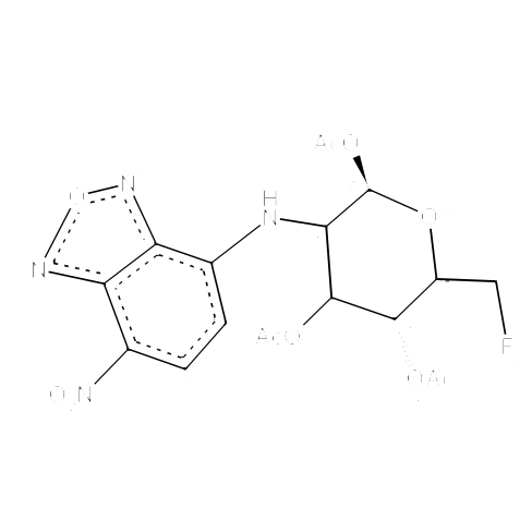 CC(=O)OC1C(Nc2ccc([N+](=O)[O-])c3nonc23)[C@@H](OC(C)=O)OC(CF)[C@@H]1OC(C)=O